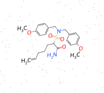 C=CCCCC(C(N)=O)S(=O)(=O)N(Cc1ccc(OC)cc1)Cc1ccc(OC)cc1